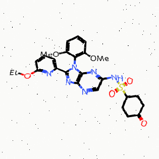 CCOc1cccc(-c2nc3ncc(NS(=O)(=O)C4CCC(=O)CC4)nc3n2-c2c(OC)cccc2OC)n1